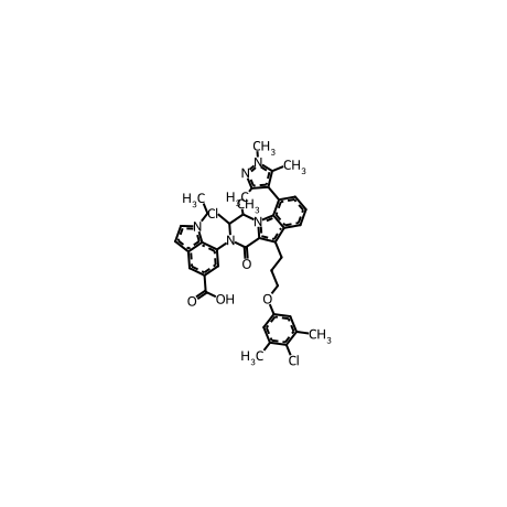 CCn1ccc2cc(C(=O)O)cc(N3C(=O)c4c(CCCOc5cc(C)c(Cl)c(C)c5)c5cccc(-c6c(C)nn(C)c6C)c5n4C(C)C3Cl)c21